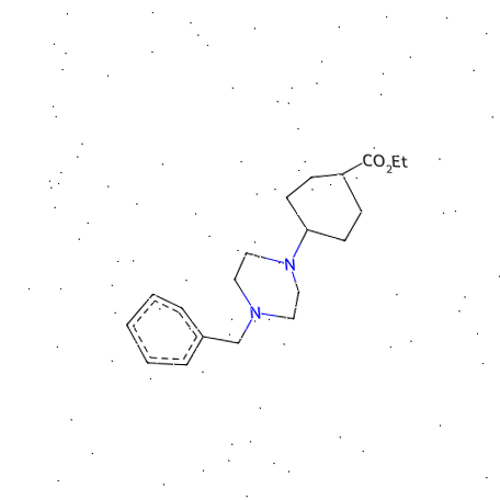 CCOC(=O)C1CCC(N2CCN(Cc3ccccc3)CC2)CC1